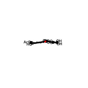 CC(=O)OC1CC(C)(C)C(=C=C/C(C)=C/C=C/C(C)=C/C=C/C=C(C)/C=C/C=C(\C)C(=O)CC23OC2(C)CC(OC(=O)CCC(=O)Oc2ccc(/C=C/c4cc(O)cc(O)c4)cc2)CC3(C)C)[C@@](C)(O)C1